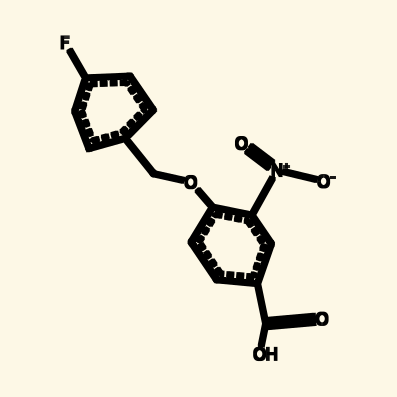 O=C(O)c1ccc(OCc2ccc(F)cc2)c([N+](=O)[O-])c1